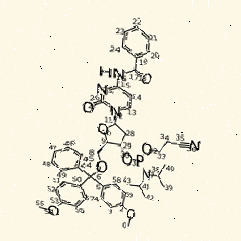 COc1ccc(C(OC[C@H]2O[C@@H](n3ccc(NC(=O)c4ccccc4)nc3=O)C[C@@H]2OP(OCCC#N)N(C(C)C)C(C)C)(c2ccccc2)c2ccc(OC)cc2)cc1